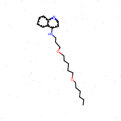 CCCCCCOCCCCCOCCCNc1ccnc2ccccc12